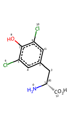 N[C@H](Cc1cc(Cl)c(O)c(Cl)c1)C(=O)O